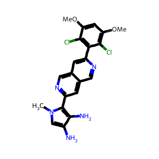 COc1cc(OC)c(Cl)c(-c2cc3cnc(-c4c(N)c(N)cn4C)cc3cn2)c1Cl